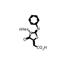 CCCCCCN1C(=O)C(=CC(=O)O)SC1=Nc1ccccc1